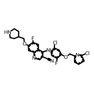 N#Cc1cnc2cc(OCC3CCNCC3)c(F)cc2c1Nc1cc(F)c(OCc2cccc(Cl)n2)cc1Cl